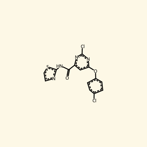 O=C(Nc1nccs1)c1cc(Oc2ccc(Cl)cc2)nc(Cl)n1